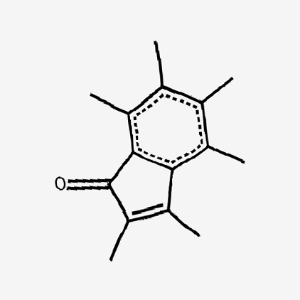 CC1=C(C)c2c(C)c(C)c(C)c(C)c2C1=O